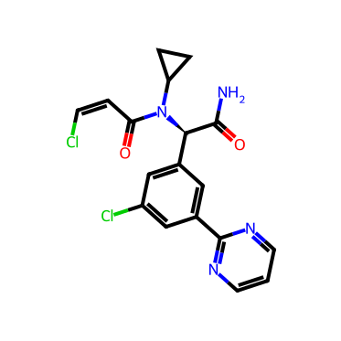 NC(=O)[C@@H](c1cc(Cl)cc(-c2ncccn2)c1)N(C(=O)/C=C\Cl)C1CC1